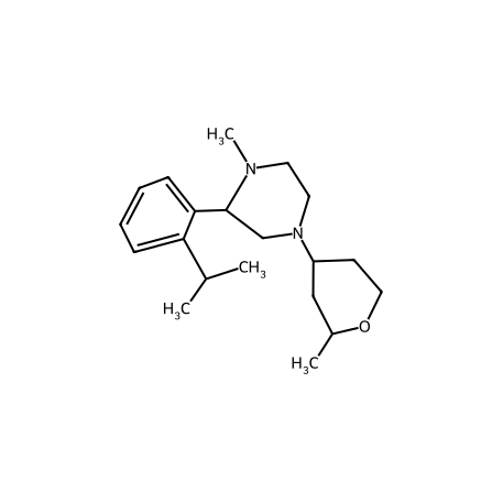 CC1CC(N2CCN(C)C(c3ccccc3C(C)C)C2)CCO1